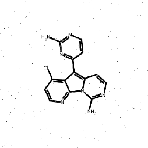 Nc1nccc(-c2c3c(Cl)ccnc3n3c(N)nccc23)n1